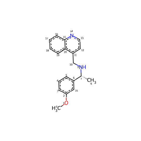 COc1cccc([C@@H](C)NCc2ccnc3ccccc23)c1